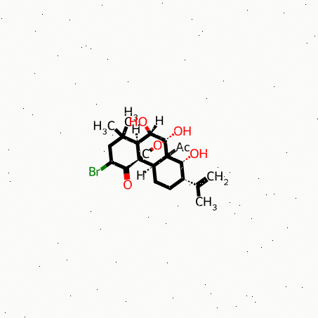 C=C(C)[C@@H]1CC[C@@H]2C(C(C)=O)([C@@H]1O)[C@@]1(O)OC[C@]23C(=O)C(Br)CC(C)(C)[C@H]3[C@@H]1O